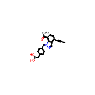 CC#Cc1ccc(C(=O)OC)c2c1cnn2Cc1ccc(CB(O)O)cc1